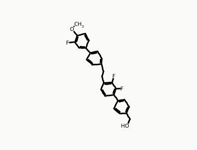 COc1ccc(-c2ccc(CCc3ccc(-c4ccc(CO)cc4)c(F)c3F)cc2)cc1F